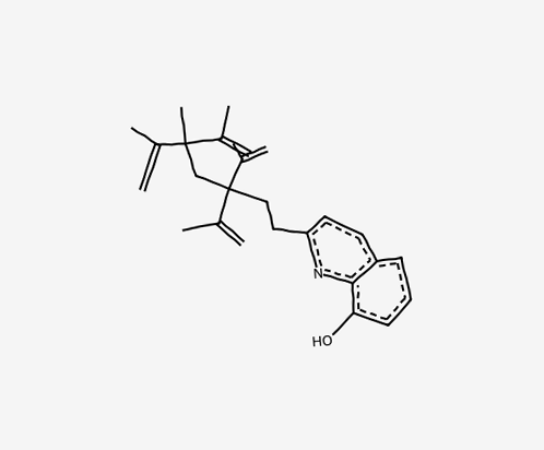 C=C(C)C(C)(CC(CCc1ccc2cccc(O)c2n1)(C(=C)C)C(=C)C)C(=C)C